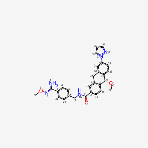 CON=C(N)c1ccc(CNC(=O)c2ccc3c(c2)Cc2cc(-n4cccn4)ccc2[C@@H]3OC)cc1